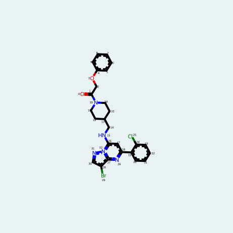 O=C(COc1ccccc1)N1CCC(CNc2cc(-c3ccccc3Cl)nc3c(Br)cnn23)CC1